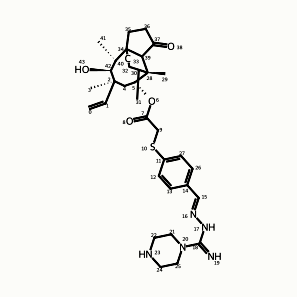 C=C[C@]1(C)C[C@@H](OC(=O)CSc2ccc(/C=N/NC(=N)N3CCNCC3)cc2)[C@]2(C)C(C)CCC3(CCC(=O)C32)[C@@H](C)[C@@H]1O